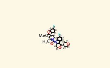 COC(=O)[C@@]1(c2ccc(F)cc2)CCN(C(=O)n2c3c(c4ccc(F)cc42)C(C2CCOCC2)OCC3)[C@@H](C)C1